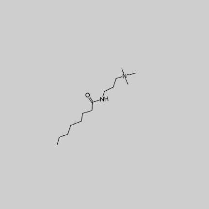 CCCCCCCC(=O)NCCC[N+](C)(C)C